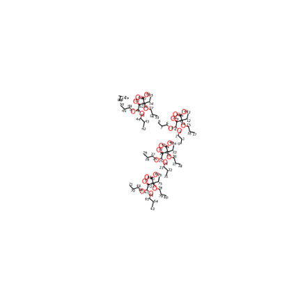 CCCOC(OCCC)C(=O)C(CC)(OCCC)C(=O)[O-].CCCOC(OCCC)C(=O)C(CC)(OCCC)C(=O)[O-].CCCOC(OCCC)C(=O)C(CC)(OCCC)C(=O)[O-].CCCOC(OCCC)C(=O)C(CC)(OCCC)C(=O)[O-].[Ti+4]